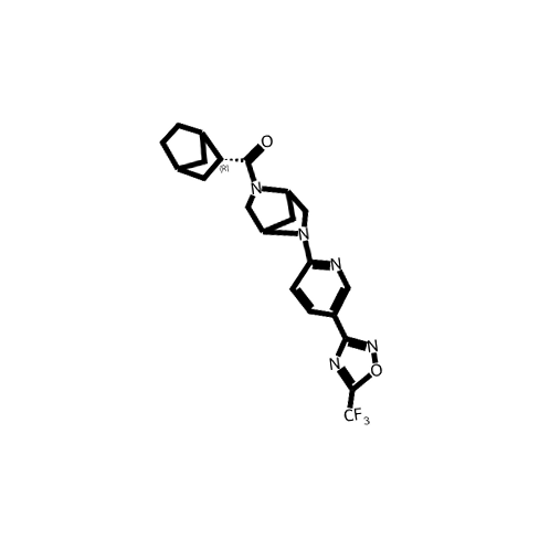 O=C([C@@H]1CC2CCC1C2)N1CC2CC1CN2c1ccc(-c2noc(C(F)(F)F)n2)cn1